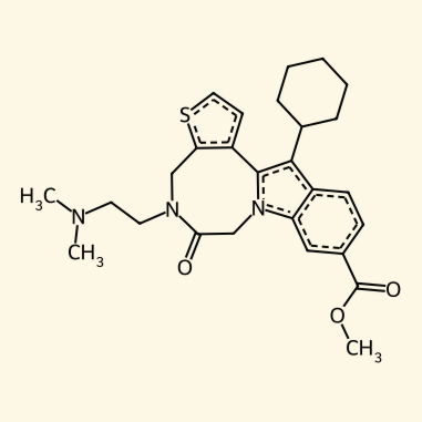 COC(=O)c1ccc2c(C3CCCCC3)c3n(c2c1)CC(=O)N(CCN(C)C)Cc1sccc1-3